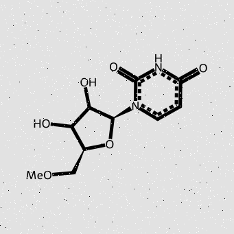 COC[C@@H]1O[C@H](n2ccc(=O)[nH]c2=O)C(O)C1O